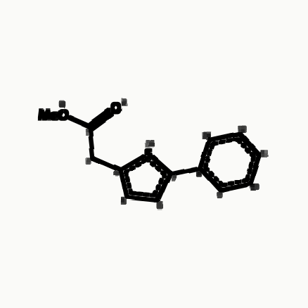 COC(=O)Cc1ccc(-c2ccccc2)s1